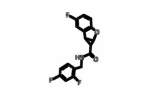 O=C(NCc1ccc(F)cc1F)C1C2Oc3ccc(F)cc3C21